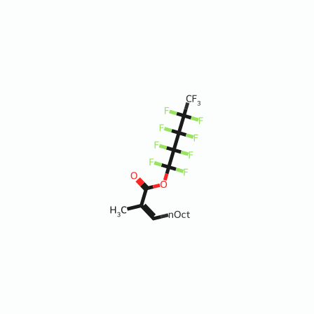 CCCCCCCCC=C(C)C(=O)OC(F)(F)C(F)(F)C(F)(F)C(F)(F)C(F)(F)F